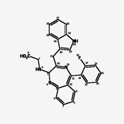 O=C(O)CNC1N=c2ccccc2=C(c2ccccc2F)N=C1Cc1c[nH]c2ccccc12